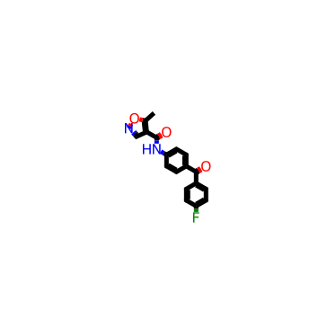 Cc1oncc1C(=O)Nc1ccc(C(=O)c2ccc(F)cc2)cc1